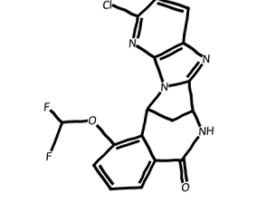 O=C1NC2CC(c3c(OC(F)F)cccc31)n1c2nc2ccc(Cl)nc21